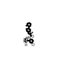 Cc1ccccc1-c1ccc2cc(C(=O)Nc3ccc(Cl)cc3-c3nnn[nH]3)n(C)c2c1